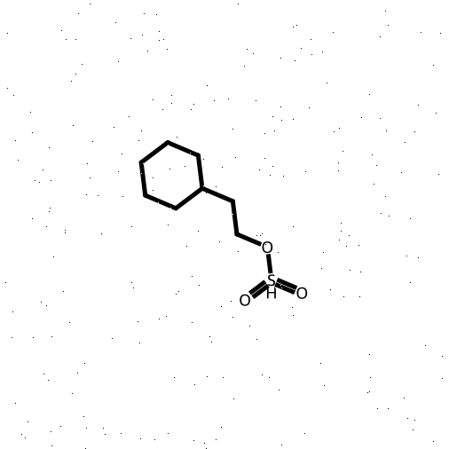 O=[SH](=O)OCCC1CCCCC1